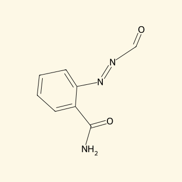 NC(=O)c1ccccc1N=NC=O